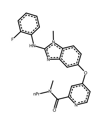 CCCN(C)C(=O)c1cc(Oc2ccc3c(c2)nc(Nc2ccccc2F)n3C)ccn1